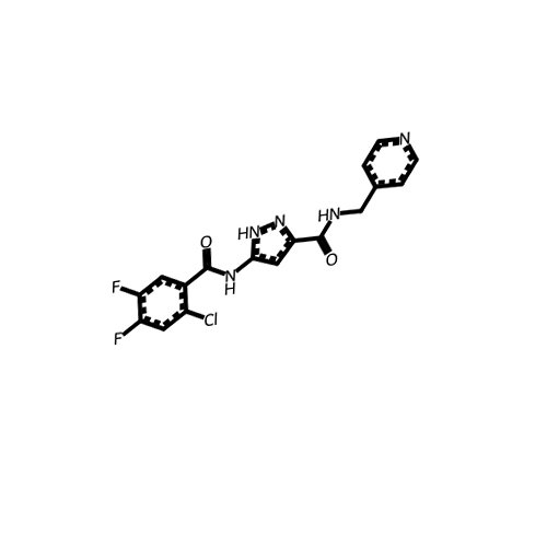 O=C(NCc1ccncc1)c1cc(NC(=O)c2cc(F)c(F)cc2Cl)[nH]n1